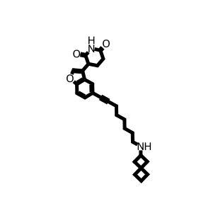 O=C1CCC(c2coc3ccc(C#CCCCCCCNC4CC5(CCC5)C4)cc23)C(=O)N1